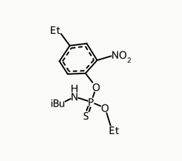 CCOP(=S)(NC(C)CC)Oc1ccc(CC)cc1[N+](=O)[O-]